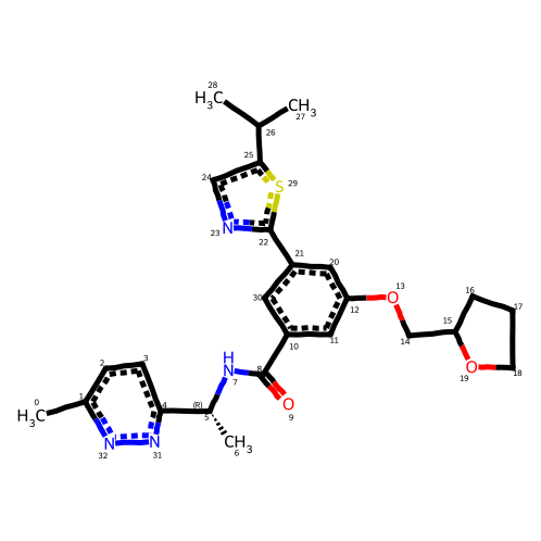 Cc1ccc([C@@H](C)NC(=O)c2cc(OCC3CCCO3)cc(-c3ncc(C(C)C)s3)c2)nn1